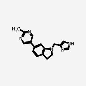 Cc1ncc(-c2ccc3c(c2)N(Cc2c[nH]cn2)CC3)cn1